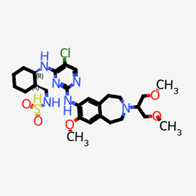 COCC(COC)N1CCc2cc(Nc3ncc(Cl)c(N[C@@H]4CCCC[C@@H]4CN[SH](=O)=O)n3)c(OC)cc2CC1